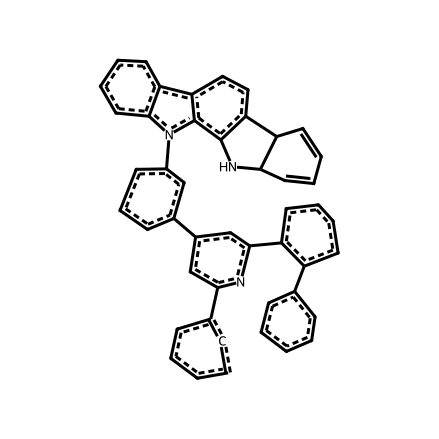 C1=CC2Nc3c(ccc4c5ccccc5n(-c5cccc(-c6cc(-c7ccccc7)nc(-c7ccccc7-c7ccccc7)c6)c5)c34)C2C=C1